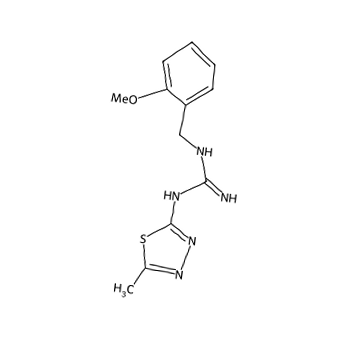 COc1ccccc1CNC(=N)Nc1nnc(C)s1